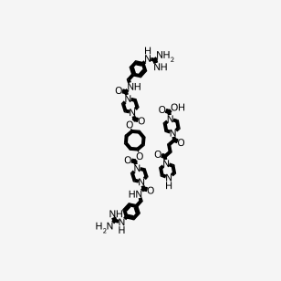 N=C(N)Nc1ccc(CNC(=O)N2CCN(C(=O)O[C@H]3CCC[C@@H](OC(=O)N4CCN(C(=O)NCc5ccc(NC(=N)N)cc5)CC4)CCC3)CC2)cc1.O=C(O)N1CCN(C(=O)CCC(=O)N2CCNCC2)CC1